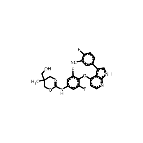 CC1(CO)CN=C(Nc2cc(F)c(Oc3ccnc4[nH]cc(-c5ccc(F)c(C#N)c5)c34)c(F)c2)OC1